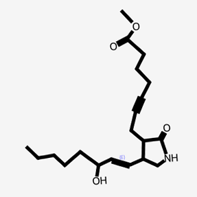 CCCCCC(O)/C=C/C1CNC(=O)C1CC#CCCCC(=O)OC